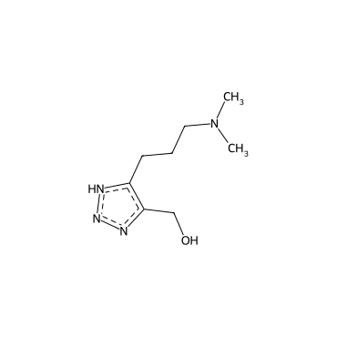 CN(C)CCCc1[nH]nnc1CO